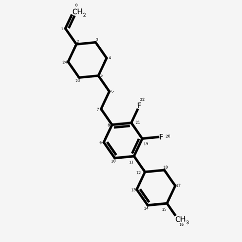 C=CC1CCC(CCc2ccc(C3C=CC(C)CC3)c(F)c2F)CC1